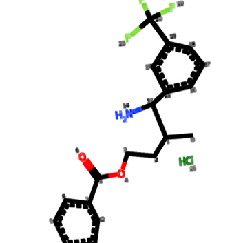 CC(CCOC(=O)c1ccccc1)C(N)c1cccc(C(F)(F)F)c1.Cl